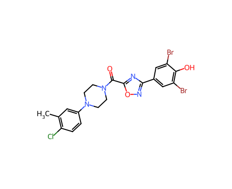 Cc1cc(N2CCN(C(=O)c3nc(-c4cc(Br)c(O)c(Br)c4)no3)CC2)ccc1Cl